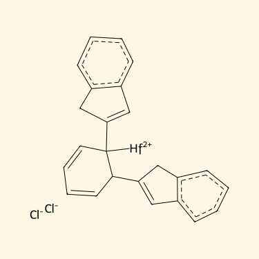 [Cl-].[Cl-].[Hf+2][C]1(C2=Cc3ccccc3C2)C=CC=CC1C1=Cc2ccccc2C1